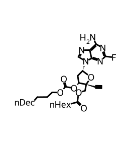 C#C[C@]1(COC(=O)CCCCCC)O[C@@H](n2cnc3c(N)nc(F)nc32)C[C@@H]1OC(=O)OCCCCCCCCCCCCC